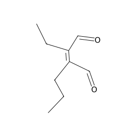 CCC/C(C=O)=C(/C=O)CC